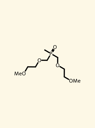 COCCOCP(C)(=O)COCCOC